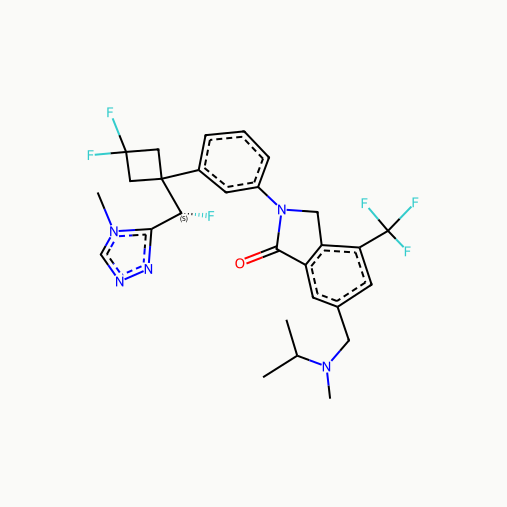 CC(C)N(C)Cc1cc2c(c(C(F)(F)F)c1)CN(c1cccc(C3([C@H](F)c4nncn4C)CC(F)(F)C3)c1)C2=O